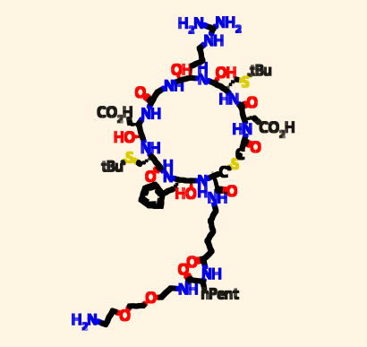 CCCCCC(NC(=O)CCCCCNC(=O)[C@@H]1CSCC(=O)N[C@@H](CC(=O)O)C(=O)N[C@@H](CSC(C)(C)C)[C@H](O)N[C@@H](CCCNC(N)N)[C@@H](O)NCC(=O)N[C@@H](CC(=O)O)[C@@H](O)N[C@@H](CSC(C)(C)C)C(=O)N[C@@H](Cc2ccccc2)[C@@H](O)N1)C(=O)NCCOCCOCCN